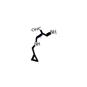 N=C/C(C=O)=C\NCC1CC1